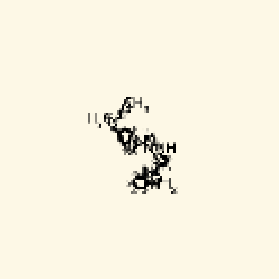 COCCN(C)Cc1ccn2c(-c3csc(Nc4ccc(C(=O)Nc5ccccc5N)s4)n3)cnc2c1